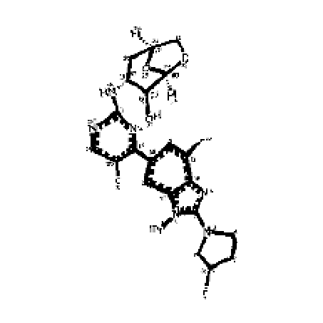 CC(C)n1c(N2CC[C@@H](F)C2)nc2c(F)cc(-c3nc(N[C@@H]4C[C@H]5CO[C@H](O5)[C@H]4O)ncc3Cl)cc21